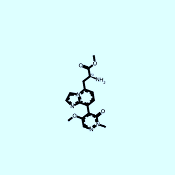 COC(=O)[C@@H](N)Cc1ccc(-c2c(OC)cnn(C)c2=O)c2nccn12